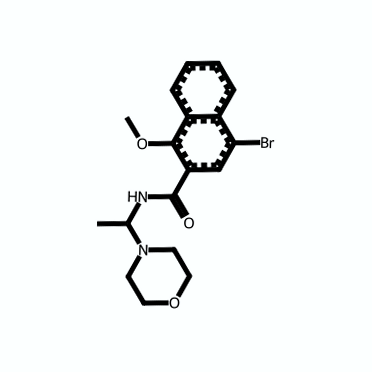 COc1c(C(=O)NC(C)N2CCOCC2)cc(Br)c2ccccc12